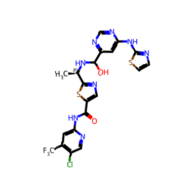 C[C@@H](NC(O)c1cc(Nc2nccs2)ncn1)c1ncc(C(=O)Nc2cc(C(F)(F)F)c(Cl)cn2)s1